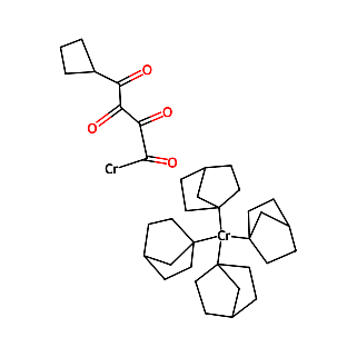 C1C[C]2([Cr]([C]34CCC(CC3)C4)([C]34CCC(CC3)C4)[C]34CCC(CC3)C4)CCC1C2.O=[C]([Cr])C(=O)C(=O)C(=O)C1CCC1